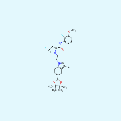 CC(=O)c1cn(CCN2C[C@H](F)C[C@H]2C(=O)Nc2cccc(OC(F)(F)F)c2F)c2ccc(B3OC(C)(C)C(C)(C)O3)cc12